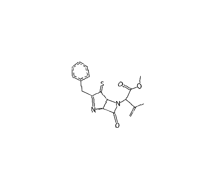 C=C(C)C(C(=O)OC)N1C(=O)C2N=C(Cc3ccccc3)C(=S)C21